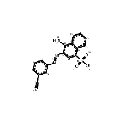 N#Cc1cccc(/N=N/c2cc(S(=O)(=O)O)c3ccccc3c2N)c1